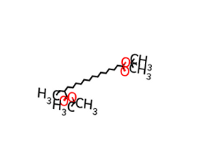 CCC(CCCCCCCCCCCCCC(=O)OC(C)C)C(=O)OC(C)C